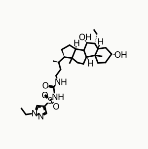 CC[C@H]1[C@@H](O)C2[C@@H]3CC[C@H]([C@H](C)CCNC(=O)NS(=O)(=O)c4cnn(CC)c4)C3(C)CC[C@@H]2C2(C)CC[C@@H](O)C[C@@H]12